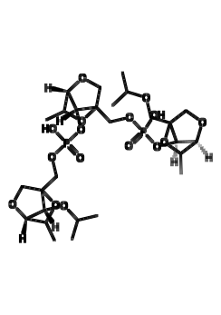 CC(C)OCC12CO[C@@H](C(C)O1)[C@H]2OP(=O)(O)OCC12CO[C@@H](C(C)O1)[C@H]2OP(=O)(O)OCC12CO[C@@H](C(C)O1)[C@H]2OC(C)C